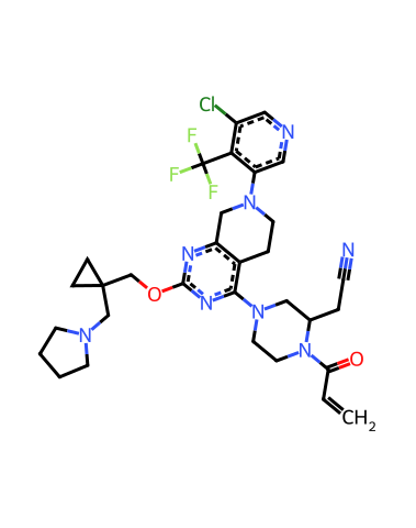 C=CC(=O)N1CCN(c2nc(OCC3(CN4CCCC4)CC3)nc3c2CCN(c2cncc(Cl)c2C(F)(F)F)C3)CC1CC#N